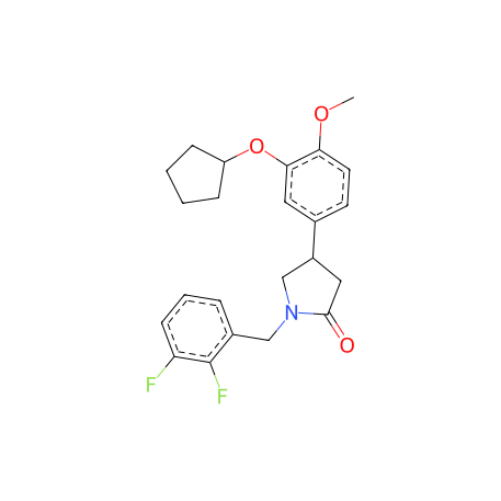 COc1ccc(C2CC(=O)N(Cc3cccc(F)c3F)C2)cc1OC1CCCC1